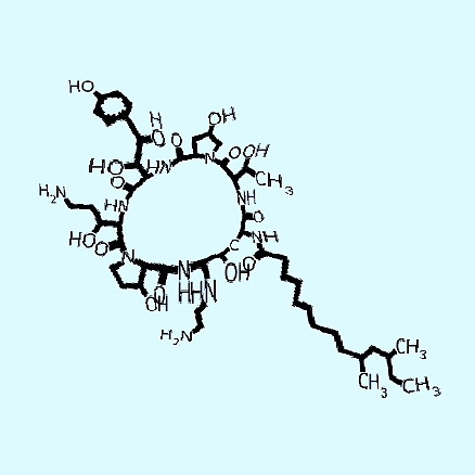 CCC(C)CC(C)CCCCCCCCC(=O)NC1CC(O)C(NCCN)NC(=O)C2C(O)CCN2C(=O)C(C(O)CCN)NC(=O)C(C(O)C(O)c2ccc(O)cc2)NC(=O)C2CC(O)CN2C(=O)C(C(C)O)NC1=O